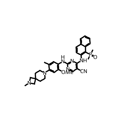 COc1cc(N2CCC3(CC2)CN(C)C3)c(C)cc1Nc1ncc(C#N)c(Nc2ccc3ccccc3c2P(C)(C)=O)n1